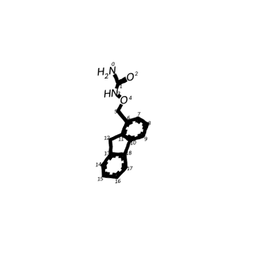 NC(=O)NOCc1cccc2c1Cc1ccccc1-2